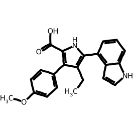 CCc1c(-c2cccc3[nH]ccc23)[nH]c(C(=O)O)c1-c1ccc(OC)cc1